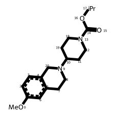 COc1ccc2c(c1)CCN(C1CCN(C(=O)OC(C)C)CC1)C2